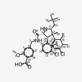 COc1cc(CNC(=O)[C@@H]2N[C@@H](CC(C)(C)C)[C@](C)(C3=CC=C(Cl)C(C)C3F)[C@H]2c2cccc(Cl)c2F)ccc1C(=O)O